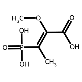 COC(C(=O)O)=C(C)P(=O)(O)O